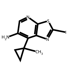 CC1(c2c(N)cnc3sc(I)nc23)CC1